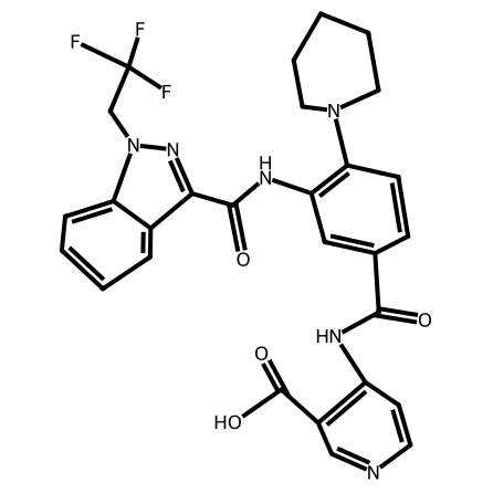 O=C(Nc1ccncc1C(=O)O)c1ccc(N2CCCCC2)c(NC(=O)c2nn(CC(F)(F)F)c3ccccc23)c1